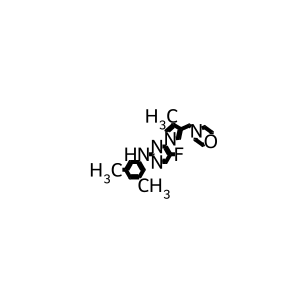 Cc1cc(C)cc(Nc2ncc(F)c(-n3cc(C)c(CN4CCOCC4)c3)n2)c1